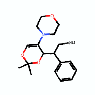 CC1(C)OC=C(N2CCOCC2)C(C(CN=O)c2ccccc2)O1